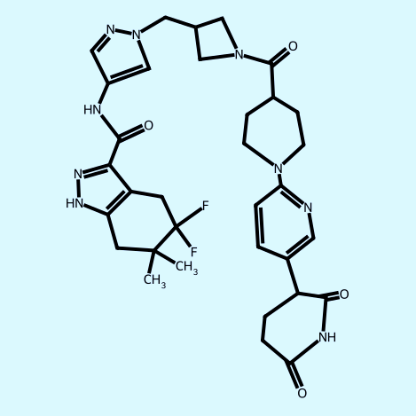 CC1(C)Cc2[nH]nc(C(=O)Nc3cnn(CC4CN(C(=O)C5CCN(c6ccc(C7CCC(=O)NC7=O)cn6)CC5)C4)c3)c2CC1(F)F